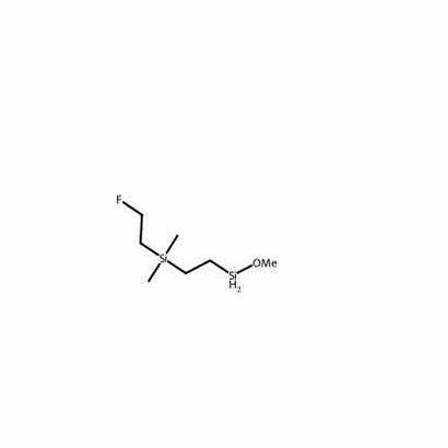 CO[SiH2]CC[Si](C)(C)CCF